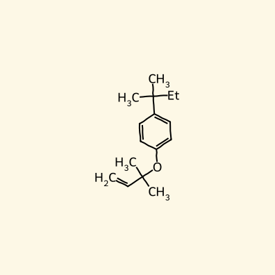 C=CC(C)(C)Oc1ccc(C(C)(C)CC)cc1